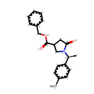 COc1ccc([C@H](C)N2CC(C(=O)OCc3ccccc3)CC2=O)cc1